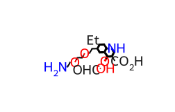 CCc1cc2[nH]cc(C(=O)O)c(=O)c2cc1CCOCCOCCN.O=CO